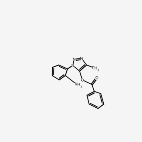 Cc1nnn(-c2ccccc2N)c1OC(=O)c1ccccc1